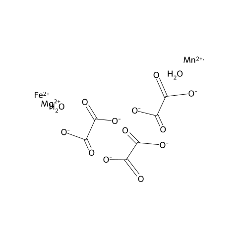 O.O.O=C([O-])C(=O)[O-].O=C([O-])C(=O)[O-].O=C([O-])C(=O)[O-].[Fe+2].[Mg+2].[Mn+2]